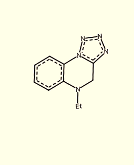 CCN1Cc2nnnn2-c2ccccc21